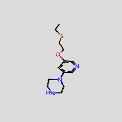 CCSCCOc1cncc(N2CCNCC2)c1